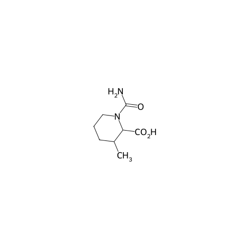 CC1CCCN(C(N)=O)C1C(=O)O